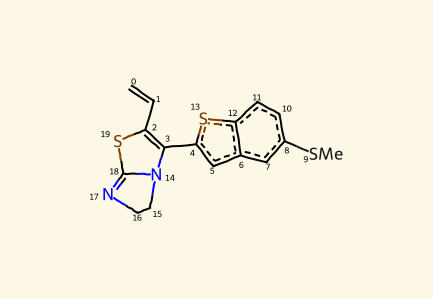 C=CC1=C(c2cc3cc(SC)ccc3s2)N2CCN=C2S1